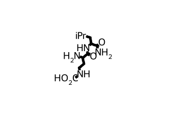 CC(C)CC(NC(=O)C(N)CCNC(=O)O)C(N)=O